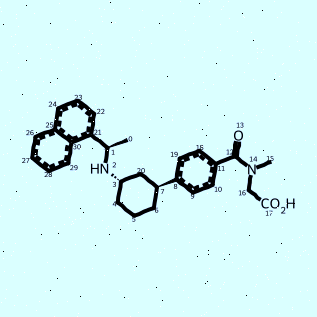 C[C@@H](N[C@H]1CCC[C@H](c2ccc(C(=O)N(C)CC(=O)O)cc2)C1)c1cccc2ccccc12